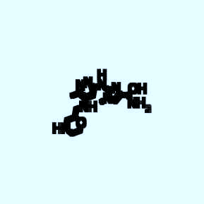 Cc1nnc(Nc2nc(C(N)O)cn2C)cc1NCC1CNCCO1